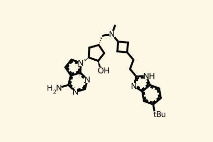 CN(C[C@@H]1C[C@@H](O)[C@H](n2ccc3c(N)ncnc32)C1)C1CC(CCc2nc3cc(C(C)(C)C)ccc3[nH]2)C1